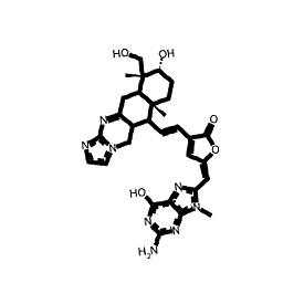 Cn1c(/C=C2C=C(/C=C/C3C4Cn5ccnc5N=C4CC4[C@]3(C)CC[C@@H](O)[C@@]4(C)CO)C(=O)O\2)nc2c(O)nc(N)nc21